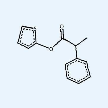 CC(C(=O)Oc1cccs1)c1ccccc1